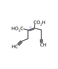 C#CC/C(C(=O)O)=C(\CC#C)C(=O)O